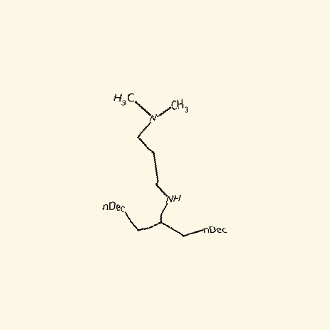 CCCCCCCCCCCC(CCCCCCCCCCC)NCCCN(C)C